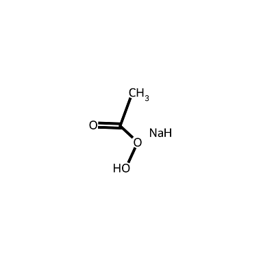 CC(=O)OO.[NaH]